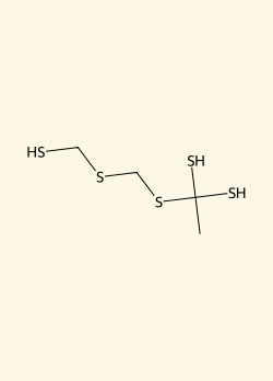 CC(S)(S)SCSCS